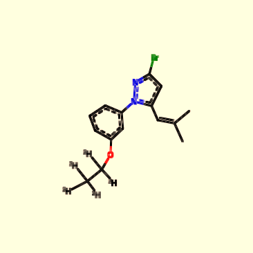 [2H]C([2H])([2H])C([2H])([2H])Oc1cccc(-n2nc(Br)cc2C=C(C)C)c1